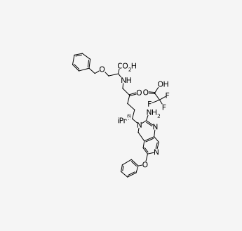 CC(C)[C@H](CCC(=O)CNC(COCc1ccccc1)C(=O)O)N1Cc2cc(Oc3ccccc3)ncc2N=C1N.O=C(O)C(F)(F)F